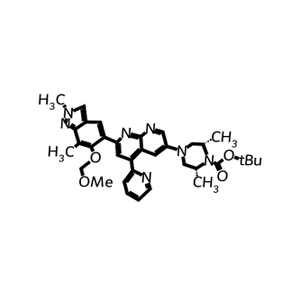 COCOc1c(-c2cc(-c3ccccn3)c3cc(N4C[C@@H](C)N(C(=O)OC(C)(C)C)[C@@H](C)C4)cnc3n2)cc2cn(C)nc2c1C